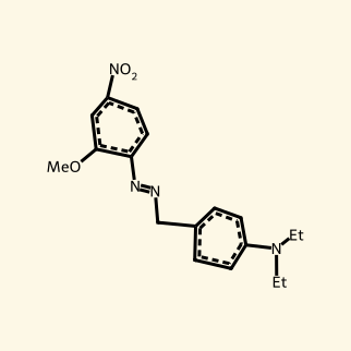 CCN(CC)c1ccc(CN=Nc2ccc([N+](=O)[O-])cc2OC)cc1